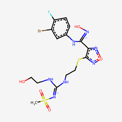 CS(=O)(=O)/N=C(\NCCO)NCCSc1nonc1/C(=N/O)Nc1ccc(F)c(Br)c1